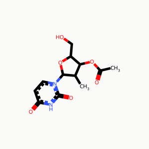 CC(=O)OC1C(CO)OC(n2ccc(=O)[nH]c2=O)C1C